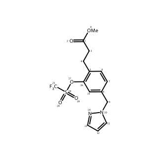 COC(=O)CCc1ccc(Cn2cccn2)cc1OS(=O)(=O)C(F)(F)F